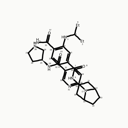 CCC(CC)Nc1cc(C(=O)NC2CC3CCC(C2)N3c2ccc(C(=O)N[C@H]3CCNC3)cn2)ccc1C(N)=O